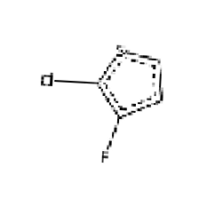 Fc1[c]csc1Cl